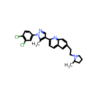 Cc1c(-c2ccc3cc(CCN4CCCC4C)ccc3n2)cnn1-c1ccc(Cl)c(Cl)c1